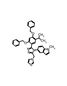 CC(C)c1cc(-c2nnc(Cn3ccnc3)n2-c2ccc3c(ccn3C)c2)c(OCc2ccccc2)cc1OCc1ccccc1